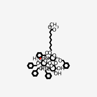 COC(=O)CCCCCCCCO[C@@H]1O[C@H](COCc2ccccc2)[C@@H](O[C@@H]2O[C@H](C)C[C@H](O)[C@H]2O)[C@H](O[C@@H]2O[C@@H](C)[C@@H](OCc3ccccc3)[C@@H](OCc3ccccc3)[C@@H]2OCc2ccccc2)[C@H]1NC(=O)c1ccccc1